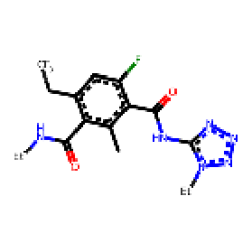 CCNC(=O)c1c(CC(F)(F)F)cc(F)c(C(=O)Nc2nnnn2CC)c1C